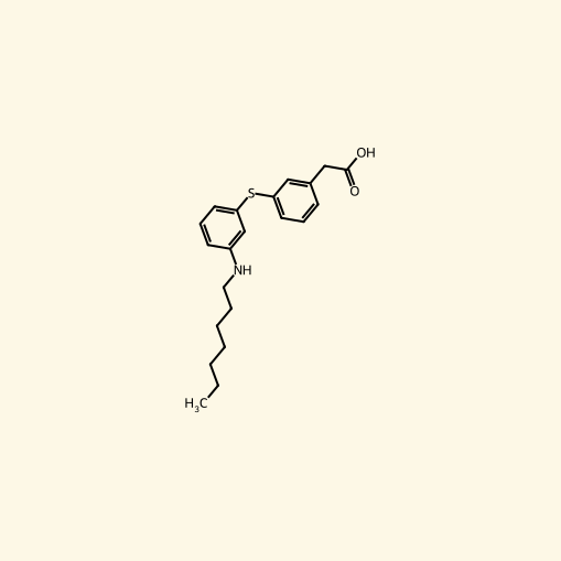 CCCCCCCNc1cccc(Sc2cccc(CC(=O)O)c2)c1